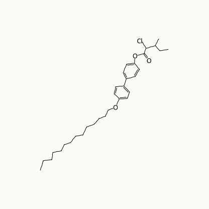 CCCCCCCCCCCCCCOc1ccc(-c2ccc(OC(=O)C(Cl)C(C)CC)cc2)cc1